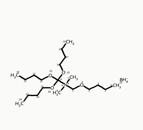 CCCCOC[N+](C)(C)C(OCCCC)(OCCCC)OCCCC.[BH4-]